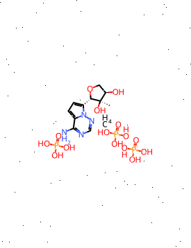 C.C[C@@]1(O)[C@H](O)CO[C@H]1c1ccc2c(N)ncnn12.O=P(O)(O)O.O=P(O)(O)O.O=P(O)(O)O